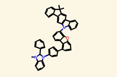 CN1c2ccccc2N(c2ccc(-c3cccc4oc5c(-n6c7ccccc7c7cc8c(cc76)-c6ccccc6C8(C)C)cccc5c34)cc2)C1c1ccccc1